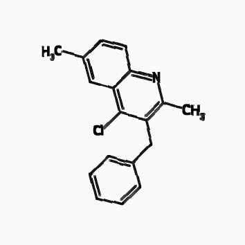 Cc1ccc2nc(C)c(Cc3ccccc3)c(Cl)c2c1